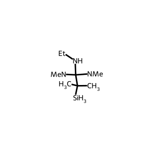 CCNC(NC)(NC)C(C)(C)[SiH3]